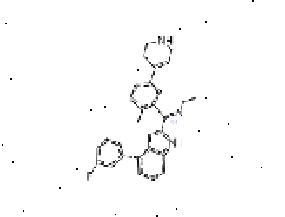 CC/N=C(/c1cc2c(-c3cccc(F)c3)cccc2[nH]1)c1cc(C2=CCNCC2)ccc1C